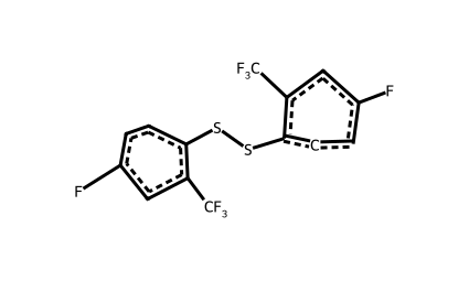 Fc1ccc(SSc2ccc(F)cc2C(F)(F)F)c(C(F)(F)F)c1